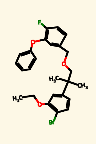 CCOc1cc(C(C)(C)COCc2ccc(F)c(Oc3ccccc3)c2)ccc1Br